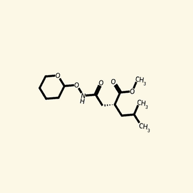 COC(=O)[C@@H](CC(=O)NOC1CCCCO1)CC(C)C